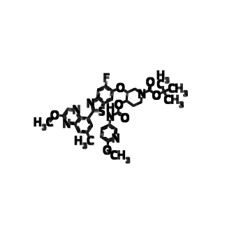 COc1ccc(NC(=O)OC2CCN(C(=O)OC(C)(C)C)CC2Oc2cc3sc(-c4cc(C)cc5nc(OC)cnc45)nc3cc2F)cn1